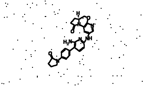 Nc1nc(Nc2cnc3c(c2)N2C(=O)CC[C@H]2CO3)ccc1-c1ccc(N2CCCC2=O)cc1